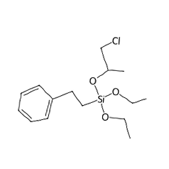 CCO[Si](CCc1ccccc1)(OCC)OC(C)CCl